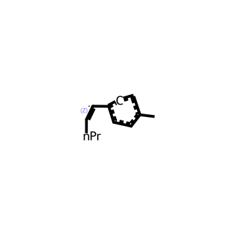 CCC/C=[C]\c1ccc(C)cc1